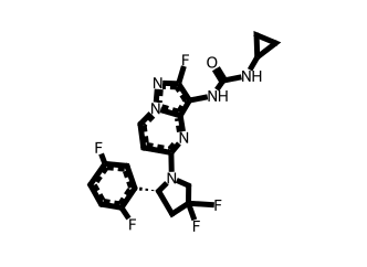 O=C(Nc1c(F)nn2ccc(N3CC(F)(F)C[C@@H]3c3cc(F)ccc3F)nc12)NC1CC1